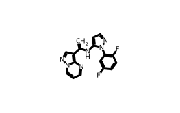 C=C(Nc1ccnn1-c1cc(F)ccc1F)c1cnn2cccnc12